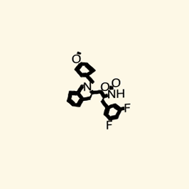 COc1ccc(CN2Cc3ccccc3C[C@@H]2[C@H]2OC(=O)N[C@H]2Cc2cc(F)cc(F)c2)cc1